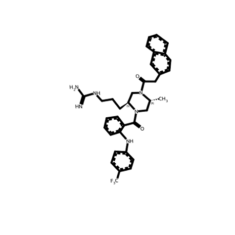 C[C@@H]1CN(C(=O)c2ccccc2Nc2ccc(C(F)(F)F)cc2)[C@@H](CCCNC(=N)N)CN1C(=O)Cc1ccc2ccccc2c1